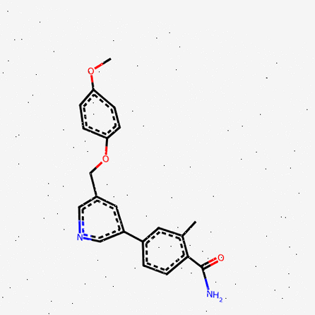 COc1ccc(OCc2cncc(-c3ccc(C(N)=O)c(C)c3)c2)cc1